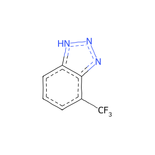 FC(F)(F)c1cccc2[nH]nnc12